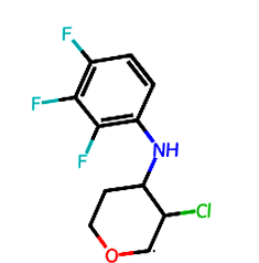 Fc1ccc(NC2CCO[CH]C2Cl)c(F)c1F